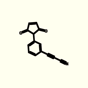 N#CC#Cc1cccc(C2C(=O)C=CC2=O)c1